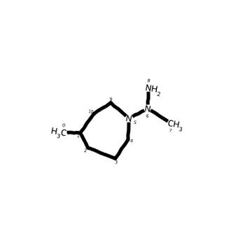 CC1CCCN(N(C)N)CC1